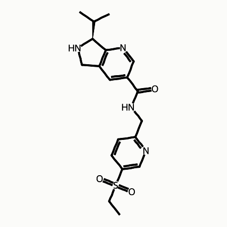 CCS(=O)(=O)c1ccc(CNC(=O)c2cnc3c(c2)CN[C@H]3C(C)C)nc1